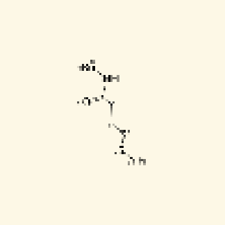 CCCCNC(=O)CCSSCCC